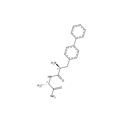 C[C@H](NC(=O)[C@@H](N)Cc1ccc(-c2ccccc2)cc1)C(N)=O